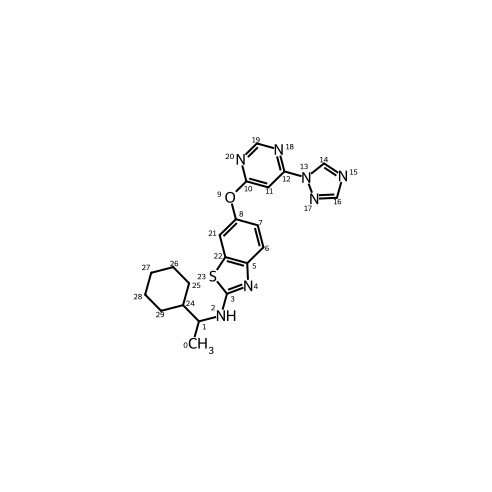 CC(Nc1nc2ccc(Oc3cc(-n4cncn4)ncn3)cc2s1)C1CCCCC1